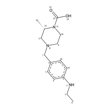 CCNc1ccc(CN2CCN(C(=O)O)[C@@H](C)C2)cc1